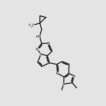 Cc1nc2ccc(-c3ccn4nc(NCC5(C(F)(F)F)CC5)ncc34)nc2n1C